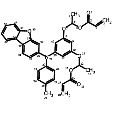 C=CC(=O)OC(C)Oc1cc(OC(C)OC(=O)C=C)cc(N(c2ccc(C)cc2)c2ccc3c(c2)oc2ccccc23)c1